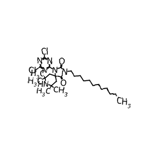 CCCCCCCCCCCCN1C(=O)N(c2nc(Cl)nc(Cl)n2)C2(CC(C)(C)NC(C)(C)C2)C1=O